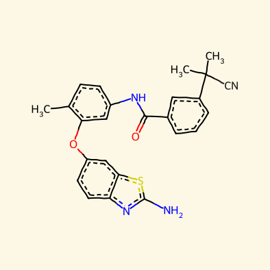 Cc1ccc(NC(=O)c2cccc(C(C)(C)C#N)c2)cc1Oc1ccc2nc(N)sc2c1